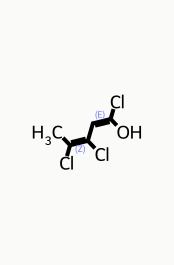 C/C(Cl)=C(Cl)\C=C(/O)Cl